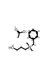 CC(=O)[O-].C[N+](C)(CCCO)Cc1ccccc1